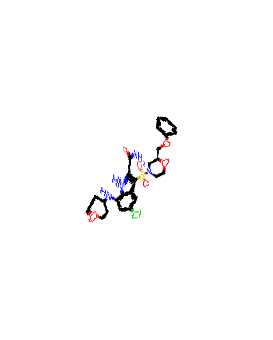 NC(=O)c1[nH]c2c(NC3CCOCC3)cc(Cl)cc2c1S(=O)(=O)N1CCO[C@H](COc2ccccc2)C1